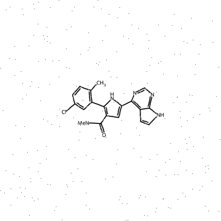 CNC(=O)c1cc(-c2ncnc3[nH]ccc23)[nH]c1-c1cc(Cl)ccc1C